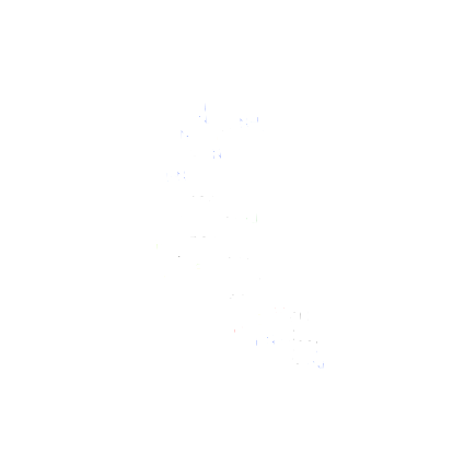 CC1(NS(=O)(=O)c2ccc(-c3c(Cl)cc(Nc4n[nH]c(N)n4)cc3C(F)(F)F)cc2)CNC1